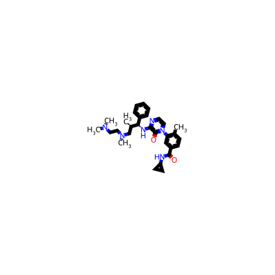 Cc1ccc(C(=O)NC2CC2)cc1-n1ccnc(N[C@@H](c2ccccc2)[C@@H](C)CN(C)CCN(C)C)c1=O